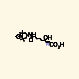 CC1(C)CC(NC(=O)CCCCC(O)/C=C/C(=O)O)CC(C)(C)N1[O]